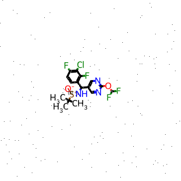 CC(C)(C)[S@@+]([O-])NC(c1cnc(OC(F)F)nc1)c1ccc(F)c(Cl)c1F